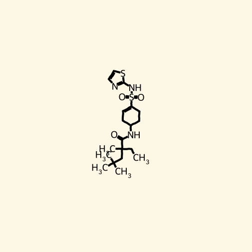 CCC(C)(CC(C)(C)C)C(=O)NC1CC=C(S(=O)(=O)Nc2nccs2)CC1